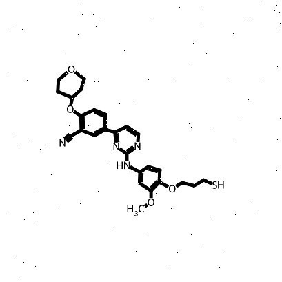 COc1cc(Nc2nccc(-c3ccc(OC4CCOCC4)c(C#N)c3)n2)ccc1OCCCS